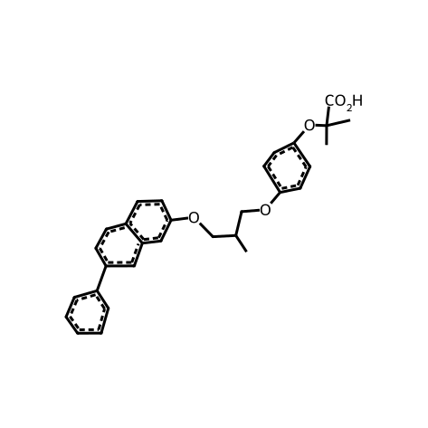 CC(COc1ccc(OC(C)(C)C(=O)O)cc1)COc1ccc2ccc(-c3ccccc3)cc2c1